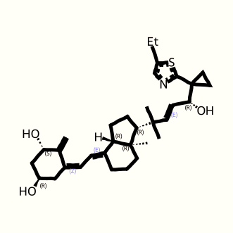 C=C1/C(=C\C=C2/CCC[C@]3(C)[C@@H](C(C)(C)/C=C/[C@@H](O)C4(c5ncc(CC)s5)CC4)CC[C@@H]23)C[C@@H](O)C[C@@H]1O